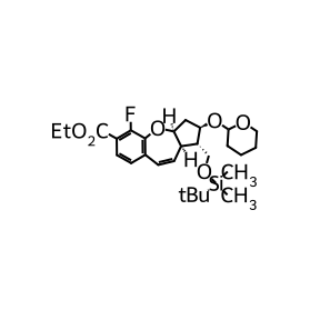 CCOC(=O)c1ccc2c(c1F)O[C@H]1C[C@@H](OC3CCCCO3)[C@H](CO[Si](C)(C)C(C)(C)C)[C@H]1C=C2